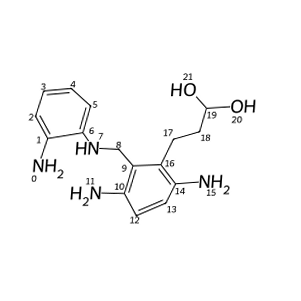 Nc1ccccc1NCc1c(N)ccc(N)c1CCC(O)O